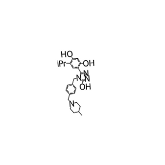 CC1CCN(Cc2ccc(Cn3c(O)nnc3-c3cc(C(C)C)c(O)cc3O)cc2)CC1